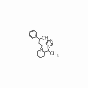 CC(CCN1CCCCC1C(C)n1ccnc1)c1ccccc1